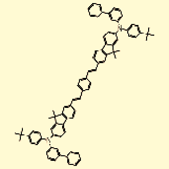 CC(C)(C)c1ccc(N(c2cccc(-c3ccccc3)c2)c2ccc3c(c2)C(C)(C)c2cc(/C=C/c4ccc(/C=C/c5ccc6c(c5)C(C)(C)c5cc(N(c7ccc(C(C)(C)C)cc7)c7cccc(-c8ccccc8)c7)ccc5-6)cc4)ccc2-3)cc1